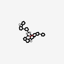 c1ccc(-c2ccc3cc(-c4nc(-c5cccc(-c6cccc7oc8ccccc8c67)c5)nc(-c5cccc6ccc7oc8ccccc8c7c56)n4)ccc3c2)cc1